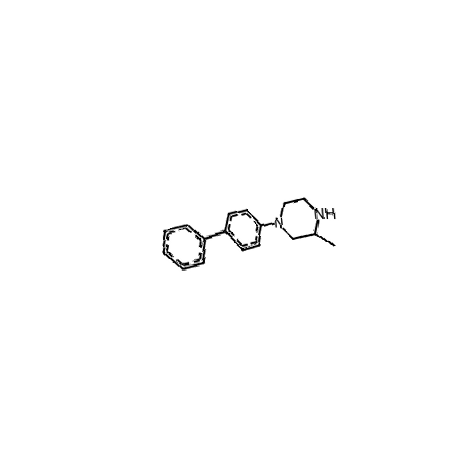 CC1CN(c2ccc(-c3ccccc3)cc2)CCN1